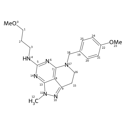 COCCCNc1nc2c3c(nn(C)c3n1)CCN2Cc1ccc(OC)cc1